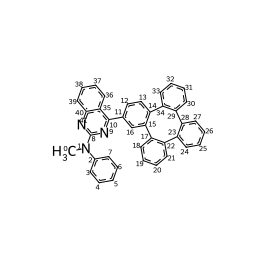 CN(c1ccccc1)c1nc(-c2ccc3c(c2)-c2ccccc2-c2ccccc2-c2ccccc2-3)c2ccccc2n1